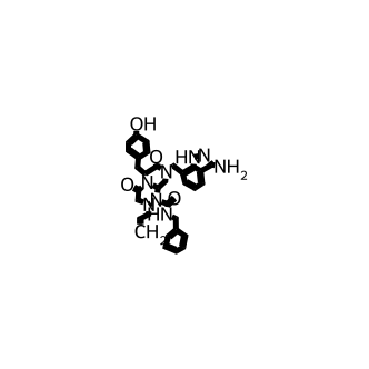 C=CCN1CC(=O)N2C(Cc3ccc(O)cc3)C(=O)N(Cc3cccc4c(N)n[nH]c34)CC2N1C(=O)NCc1ccccc1